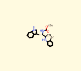 CC(=O)c1ccccc1NC(C#N)[C@H](Cc1c[nH]c2ccccc12)NC(=O)OC(C)(C)C